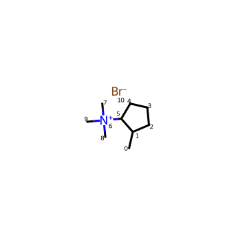 CC1CCCC1[N+](C)(C)C.[Br-]